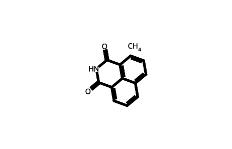 C.O=C1NC(=O)c2cccc3cccc1c23